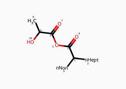 CCCCCCCCCC(CCCCCCC)C(=O)OC(=O)C(C)O